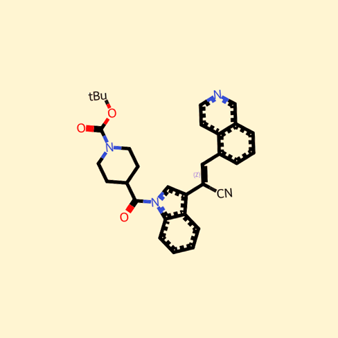 CC(C)(C)OC(=O)N1CCC(C(=O)n2cc(/C(C#N)=C/c3cccc4cnccc34)c3ccccc32)CC1